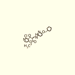 CCOC(=O)C(=CNc1ccc(OCc2ccccc2)nc1)C(=O)c1cccnc1Cl